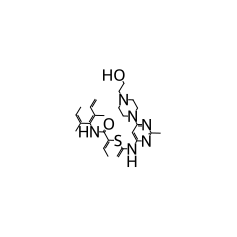 C=C/C(C)=C(NC(=O)/C(=C/C)SC(=C)Nc1cc(N2CCN(CCO)CC2)nc(C)n1)\C(C)=C/C